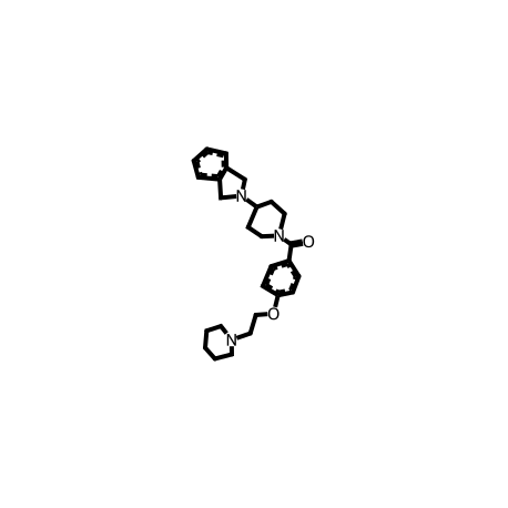 O=C(c1ccc(OCCN2CCCCC2)cc1)N1CCC(N2Cc3ccccc3C2)CC1